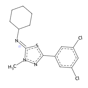 Cn1nc(-c2cc(Cl)cc(Cl)c2)s/c1=N\C1CCCCC1